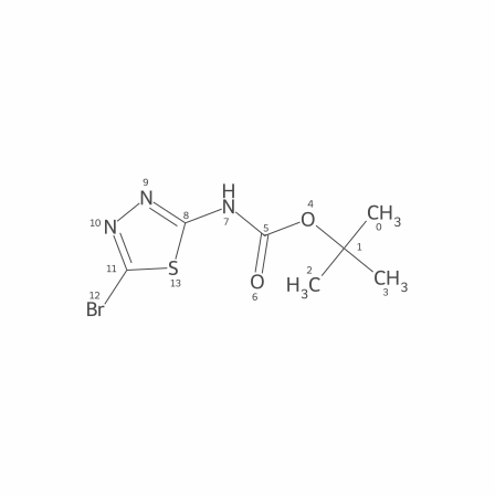 CC(C)(C)OC(=O)Nc1nnc(Br)s1